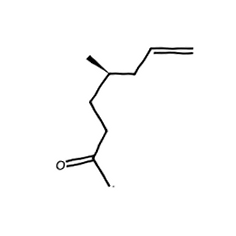 [CH2]C(=O)CC[C@@H](C)CC=C